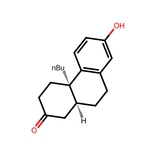 CCCC[C@@]12CCC(=O)C[C@@H]1CCc1cc(O)ccc12